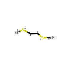 CCCSCCSCC